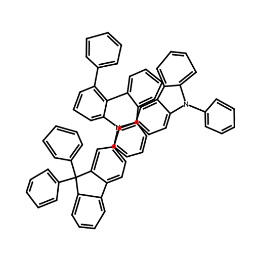 c1ccc(-c2ccccc2-c2c(-c3ccccc3)cccc2N(c2ccc3c(c2)C(c2ccccc2)(c2ccccc2)c2ccccc2-3)c2ccc3c(c2)c2ccccc2n3-c2ccccc2)cc1